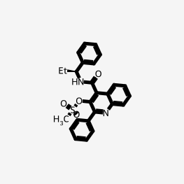 CC[C@H](NC(=O)c1c(OS(C)(=O)=O)c(-c2ccccc2)nc2ccccc12)c1ccccc1